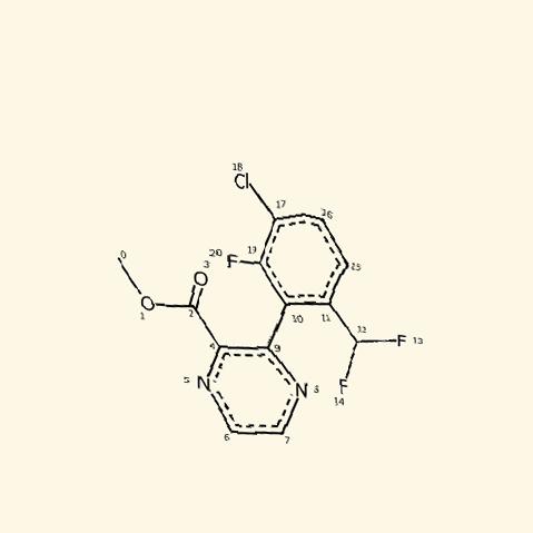 COC(=O)c1nccnc1-c1c(C(F)F)ccc(Cl)c1F